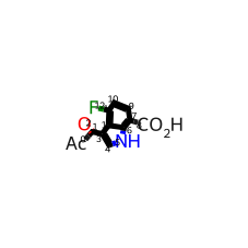 CC(=O)C(=O)c1c[nH]c2c(C(=O)O)ccc(F)c12